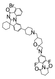 O=C1CCCC(=O)N1c1c(F)cc(N2CC3(CCC(CN4CCC(c5ccc6c(c5)-n5c(nc(=O)c7c(Br)cccc75)C65CCCCC5)CC4)CO3)C2)cc1F